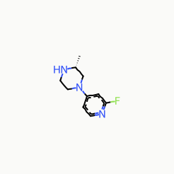 C[C@@H]1CN(c2ccnc(F)c2)CCN1